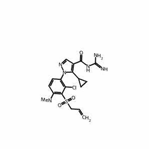 C=CCS(=O)(=O)c1c(NC)ccc(-n2ncc(C(=O)NC(=N)N)c2C2CC2)c1Cl